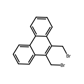 BrCc1c(CBr)c2ccccc2c2ccccc12